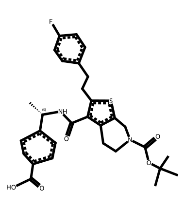 C[C@H](NC(=O)c1c(CCc2ccc(F)cc2)sc2c1CCN(C(=O)OC(C)(C)C)C2)c1ccc(C(=O)O)cc1